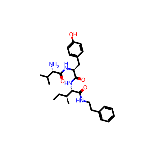 CC[C@H](C)[C@H](NC(=O)[C@H](Cc1ccc(O)cc1)NC(=O)[C@@H](N)C(C)C)C(=O)NCCc1ccccc1